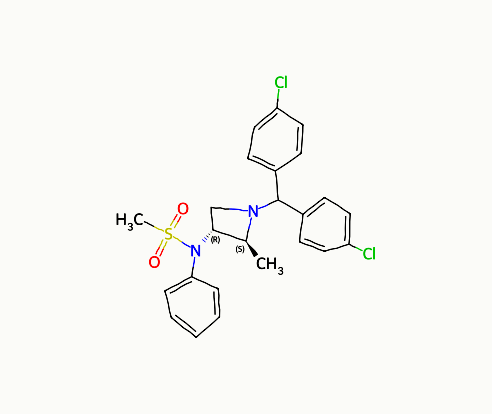 C[C@H]1[C@H](N(c2ccccc2)S(C)(=O)=O)CN1C(c1ccc(Cl)cc1)c1ccc(Cl)cc1